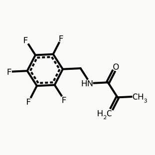 C=C(C)C(=O)NCc1c(F)c(F)c(F)c(F)c1F